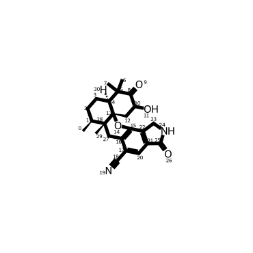 C[C@H]1CC[C@H]2C(C)(C)C(=O)C(O)C[C@]23Oc2c(c(C#N)cc4c2CNC4=O)C[C@]13C